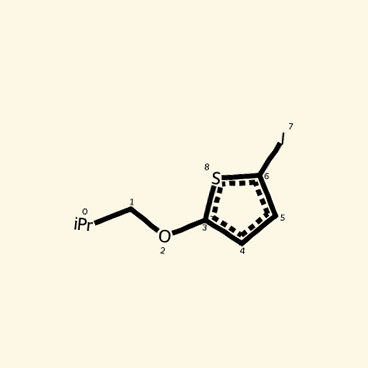 CC(C)COc1ccc(I)s1